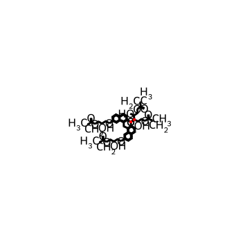 C=C(C)C(=O)OCC(O)COc1ccc2ccc(OCC(O)COC(=O)C(=C)C)c(Cc3c(OCC(O)COC(=O)C(=C)C)ccc4ccc(OCC(O)COC(=O)C(=C)C)cc34)c2c1